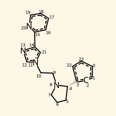 c1ccc([C@@H]2CCCN2CCn2cnc(-c3ccccn3)c2)cc1